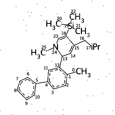 Cc1ccc(-c2ccccc2)cc1C1C=C(CC(C)C)C([Si](C)(C)C)=CN1C